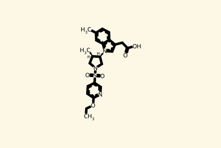 CCOc1ccc(S(=O)(=O)N2C[C@@H](C)[C@@H](n3cc(CC(=O)O)c4ccc(C)cc43)C2)cn1